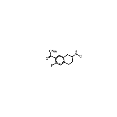 COC(=O)c1cc2c(cc1F)CCC(NCl)C2